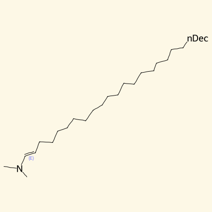 CCCCCCCCCCCCCCCCCCCCCCCCCCCC/C=C/N(C)C